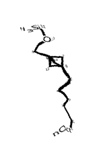 CCCCCCCCCCCCCC12CC(CO[SiH3])(C1)C2